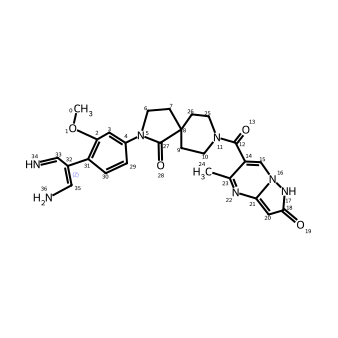 COc1cc(N2CCC3(CCN(C(=O)c4cn5[nH]c(=O)cc5nc4C)CC3)C2=O)ccc1/C(C=N)=C/N